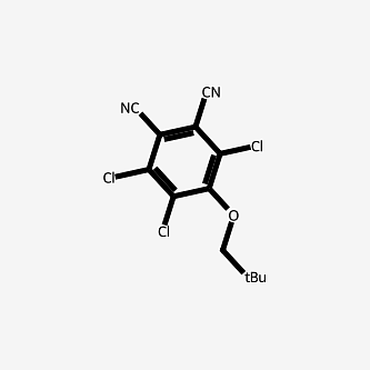 CC(C)(C)COc1c(Cl)c(Cl)c(C#N)c(C#N)c1Cl